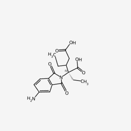 CCC(CC(=O)O)[C@@](CC)(C(=O)O)N1C(=O)c2ccc(N)cc2C1=O